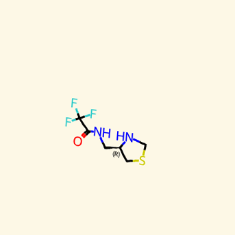 O=C(NC[C@@H]1CSCN1)C(F)(F)F